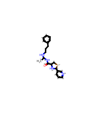 CC(NCCCc1ccccc1)NC(=O)C1CSC(c2cccnc2)N1